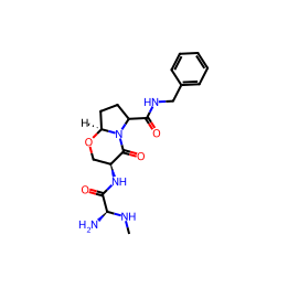 CN[C@@H](N)C(=O)N[C@H]1CO[C@H]2CCC(C(=O)NCc3ccccc3)N2C1=O